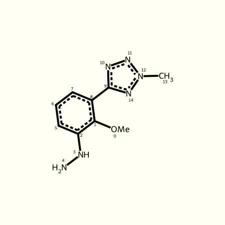 COc1c(NN)cccc1-c1nnn(C)n1